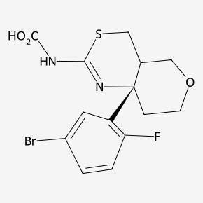 O=C(O)NC1=N[C@@]2(c3cc(Br)ccc3F)CCOCC2CS1